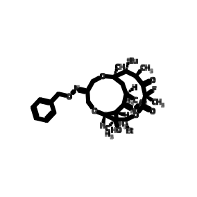 CC[C@H]1OC(=O)[C@@](C)(F)C(=O)[C@H](C)[C@@H](C(C)(C)C)[C@@]2(C)C[C@@H](C)/C(=N\C(C)=O)[C@H](C)[C@@H](OC/C(=N\OCc3ccccc3)CO2)[C@]1(C)O